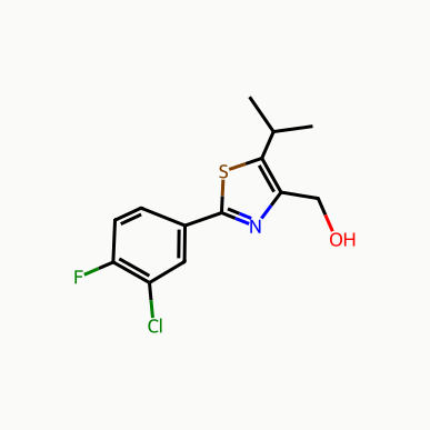 CC(C)c1sc(-c2ccc(F)c(Cl)c2)nc1CO